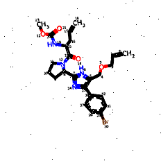 C=CCOCc1[nH]c(C2CCCN2C(=O)C(CC=C)NC(=O)OC)nc1-c1ccc(Br)cc1